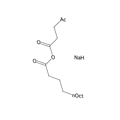 CCCCCCCCCCCC(=O)OC(=O)CCC(C)=O.[NaH]